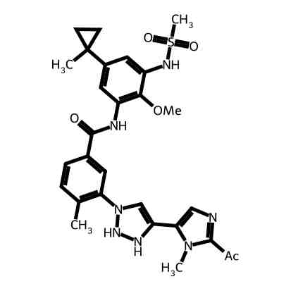 COc1c(NC(=O)c2ccc(C)c(N3C=C(c4cnc(C(C)=O)n4C)NN3)c2)cc(C2(C)CC2)cc1NS(C)(=O)=O